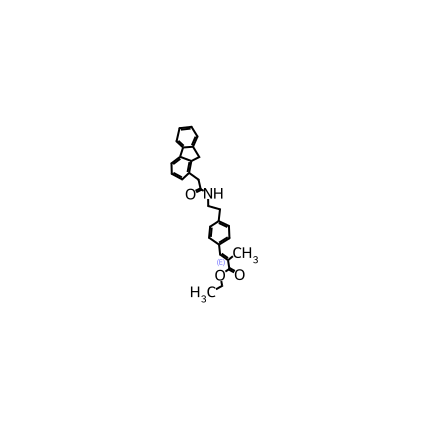 CCOC(=O)/C(C)=C/c1ccc(CCNC(=O)Cc2cccc3c2Cc2ccccc2-3)cc1